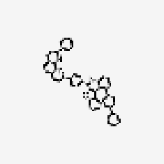 c1ccc(-c2ccc(-c3cccc4nc(-c5ccc(-c6ccc7ccc8ccc(-c9ccccc9)nc8c7n6)cc5)c5oc6ccccc6c5c34)cc2)cc1